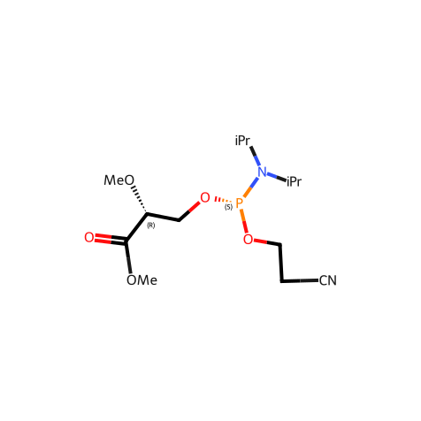 COC(=O)[C@@H](CO[P@@](OCCC#N)N(C(C)C)C(C)C)OC